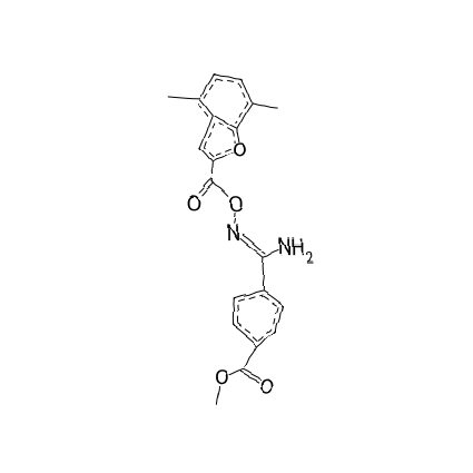 COC(=O)c1ccc(/C(N)=N/OC(=O)c2cc3c(C)ccc(C)c3o2)cc1